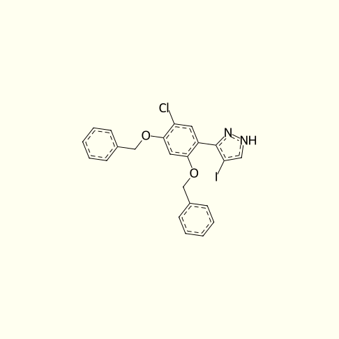 Clc1cc(-c2n[nH]cc2I)c(OCc2ccccc2)cc1OCc1ccccc1